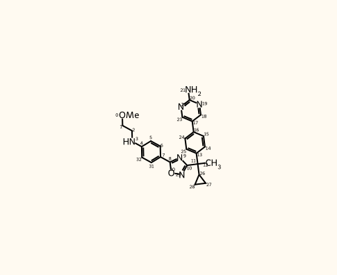 COCCNc1ccc(-c2nc(C(C)(c3ccc(-c4cnc(N)nc4)cc3)C3CC3)no2)cc1